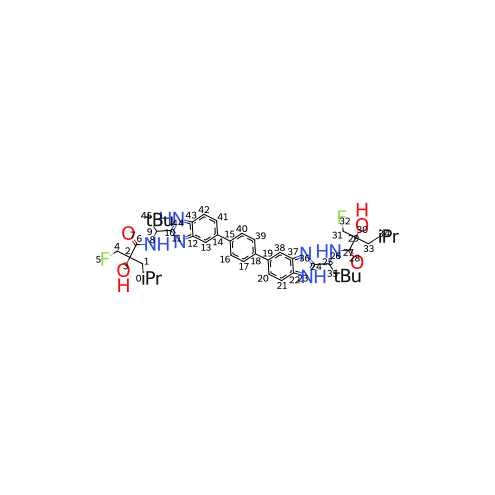 CC(C)CC(O)(CF)C(=O)NC(c1nc2cc(-c3ccc(-c4ccc5[nH]c(C(NC(=O)C(O)(CF)CC(C)C)C(C)(C)C)nc5c4)cc3)ccc2[nH]1)C(C)(C)C